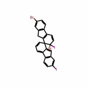 Brc1ccc2c(c1)CC1=C2C=CC(Br)(I)C12C=CC=C1C2=Cc2cc(I)ccc21